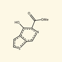 COC(=O)c1ncc2sccc2c1O